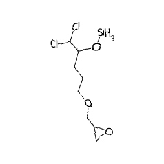 [SiH3]OC(CCCOCC1CO1)C(Cl)Cl